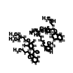 CCCCc1oc2ccccc2c1C(=O)c1cc(I)c(OCCN(CC)CC)c(I)c1.CN/C(=N/C#N)NCCSCc1nc[nH]c1C.CNCC[C@H](Oc1cccc2ccccc12)c1cccs1